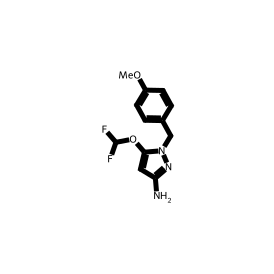 COc1ccc(Cn2nc(N)cc2OC(F)F)cc1